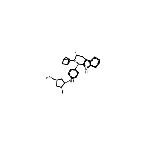 CCCN1C[C@@H](F)[C@H](Nc2ccc([C@@H]3c4[nH]c5ccccc5c4C[C@@H](C)N3C3CC4CC3C4)cc2)C1